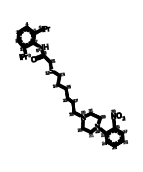 CC(C)c1cccc(C(C)C)c1NC(=O)CSCCCCCCN1CCN(c2ccccc2[N+](=O)[O-])CC1